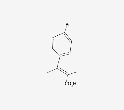 CC(C(=O)O)=C(C)c1ccc(Br)cc1